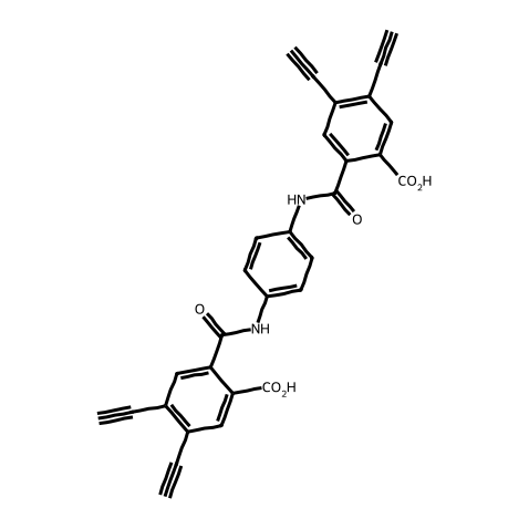 C#Cc1cc(C(=O)O)c(C(=O)Nc2ccc(NC(=O)c3cc(C#C)c(C#C)cc3C(=O)O)cc2)cc1C#C